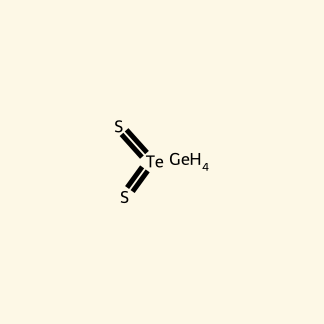 S=[Te]=S.[GeH4]